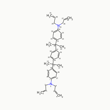 C=CCN(CC=C)c1ccc(C(C)(C)c2ccc(C(C)(C)c3ccc(N(CC=C)CC=C)cc3)cc2)cc1